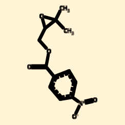 CC1(C)OC1COC(=O)c1ccc([N+](=O)[O-])cc1